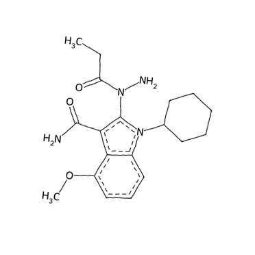 CCC(=O)N(N)c1c(C(N)=O)c2c(OC)cccc2n1C1CCCCC1